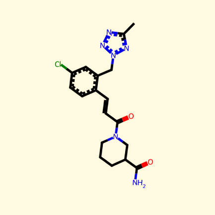 Cc1nnn(Cc2cc(Cl)ccc2C=CC(=O)N2CCCC(C(N)=O)C2)n1